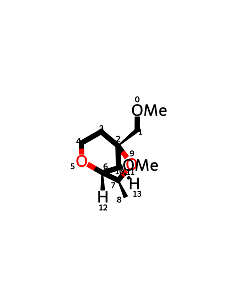 COC[C@@]12CCO[C@@H]([C@H](C)O1)[C@@H]2OC